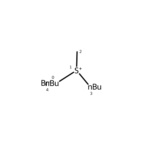 CCCC[S+](C)CCCC.[Br-]